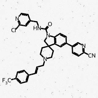 N#Cc1ccc(-c2ccc3c(c2)C2(CCN(CC=Cc4ccc(C(F)(F)F)cc4)CC2)CN3C(=O)NCc2ccnc(Cl)c2)cn1